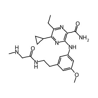 CCc1nc(C(N)=O)c(Nc2cc(CCNC(=O)CNC)cc(OC)c2)nc1C1CC1